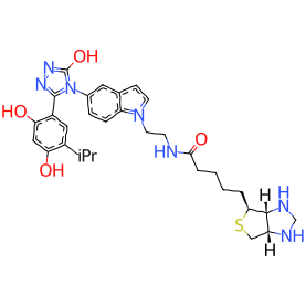 CC(C)c1cc(-c2nnc(O)n2-c2ccc3c(ccn3CCNC(=O)CCCC[C@@H]3SC[C@H]4NCN[C@@H]34)c2)c(O)cc1O